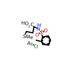 CC(=O)Cl.CSCCC(NS(=O)(=O)c1ccccc1C)C(=O)O